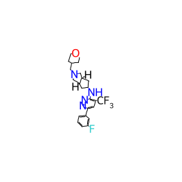 Fc1cccc(-c2cc(C(F)(F)F)c(NC3C[C@@H]4CN(CC5CCOCC5)C[C@@H]4C3)nn2)c1